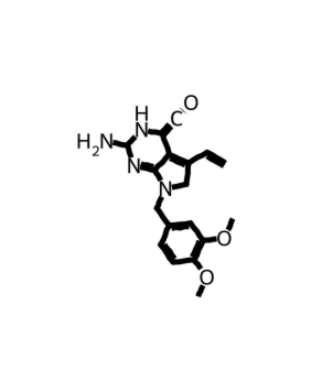 C=CC1=C2C(=C=O)NC(N)N=C2N(Cc2ccc(OC)c(OC)c2)C1